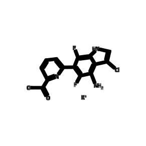 Nc1c(F)c(-c2cccc(C(=O)[O-])n2)c(F)c2[nH]cc(Cl)c12.[K+]